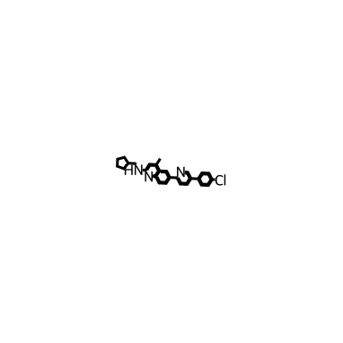 Cc1cc(NCC2CCCC2)nc2ccc(-c3ccc(-c4ccc(Cl)cc4)cn3)cc12